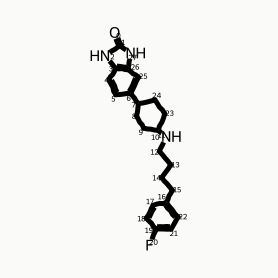 O=c1[nH]c2ccc(C3CCC(NCCCCc4ccc(F)cc4)CC3)cc2[nH]1